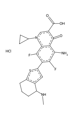 CNC1CCCc2sc(-c3c(F)c(N)c4c(=O)c(C(=O)O)cn(C5CC5)c4c3F)cc21.Cl